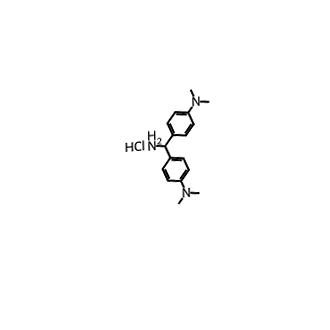 CN(C)c1ccc(C(N)c2ccc(N(C)C)cc2)cc1.Cl